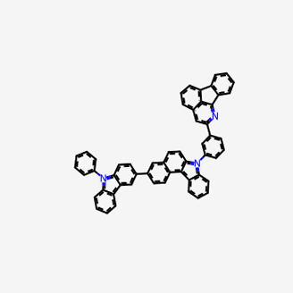 c1ccc(-n2c3ccccc3c3cc(-c4ccc5c(ccc6c5c5ccccc5n6-c5cccc(-c6cc7cccc8c7c(n6)-c6ccccc6-8)c5)c4)ccc32)cc1